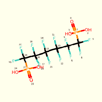 O=P(O)(O)C(F)(F)C(F)(F)C(F)(F)C(F)(F)C(F)(F)C(F)(F)P(=O)(O)O